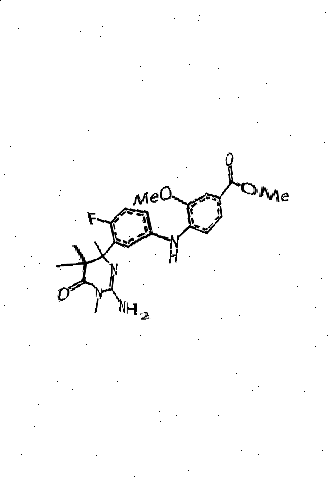 COC(=O)c1ccc(Nc2ccc(F)c(C3(C)N=C(N)N(C)C(=O)C3(C)C)c2)c(OC)c1